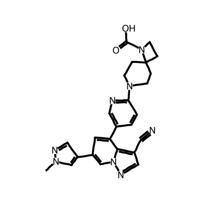 Cn1cc(-c2cc(-c3ccc(N4CCC5(CC4)CCN5C(=O)O)nc3)c3c(C#N)cnn3c2)cn1